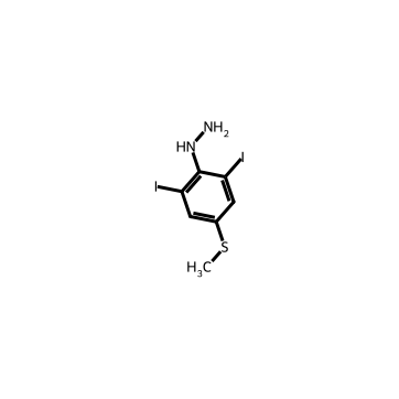 CSc1cc(I)c(NN)c(I)c1